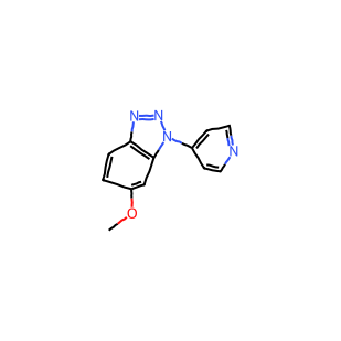 COc1ccc2nnn(-c3ccncc3)c2c1